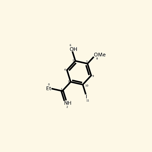 CCC(=N)c1cc(O)c(OC)cc1I